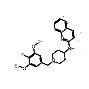 CCOc1cc(CN2CCC(Nc3ccc4ccccc4n3)CC2)cc(OCC)c1F